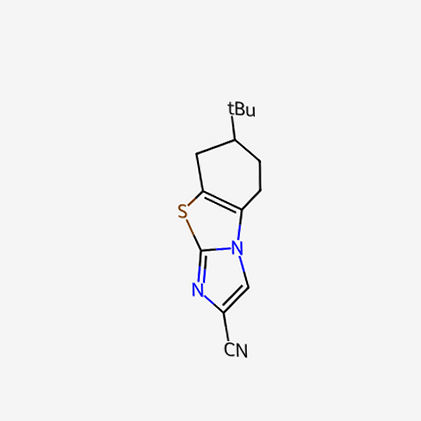 CC(C)(C)C1CCc2c(sc3nc(C#N)cn23)C1